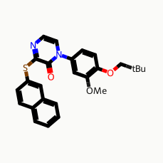 COc1cc(-n2ccnc(Sc3ccc4ccccc4c3)c2=O)ccc1OCC(C)(C)C